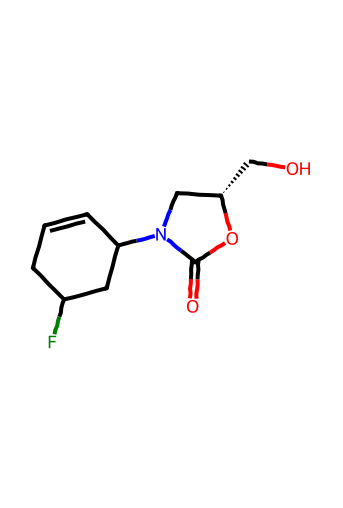 O=C1O[C@@H](CO)CN1C1C=CCC(F)C1